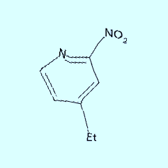 CCc1ccnc([N+](=O)[O-])c1